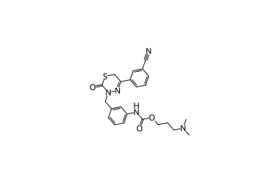 CN(C)CCCOC(=O)Nc1cccc(CN2N=C(c3cccc(C#N)c3)CSC2=O)c1